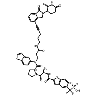 CC(C)(C)C(NC(=O)c1cc2cc(C(F)(F)P(=O)(O)O)ccc2s1)C(=O)N1CCC[C@H]1C(=O)N(CCC(=O)NCCCC#Cc1cccc2c1CN(C1CCC(=O)NC1=O)C2=O)c1ccc2sccc2c1